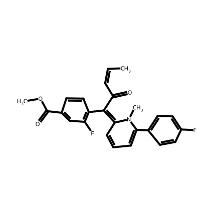 C/C=C\C(=O)/C(=C1/C=CC=C(c2ccc(F)cc2)N1C)c1ccc(C(=O)OC)cc1F